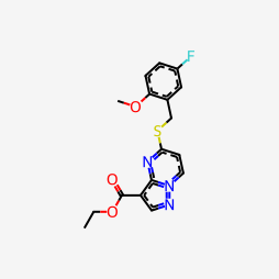 CCOC(=O)c1cnn2ccc(SCc3cc(F)ccc3OC)nc12